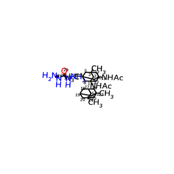 CC(=O)NC12CC3(C)CC(C)(C1)CC(NC(C)=O)(C3)C2.CC12CC3CC(C1)CC(C)(C3)C2.NNC(=O)NN